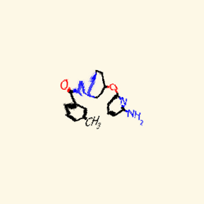 Cc1cccc(C(=O)N2CCC(Oc3cccc(N)n3)C2)c1